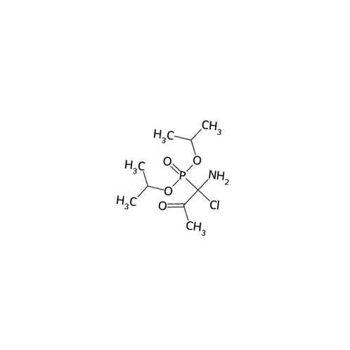 CC(=O)C(N)(Cl)P(=O)(OC(C)C)OC(C)C